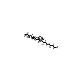 C=COC(C)=O.CCCCCCCCCCCCCCCCCC